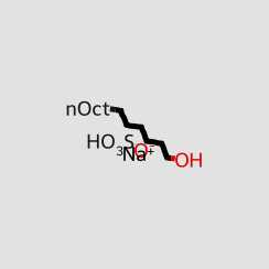 CCCCCCCCCCCCCCO.O=S(=O)([O-])O.[Na+]